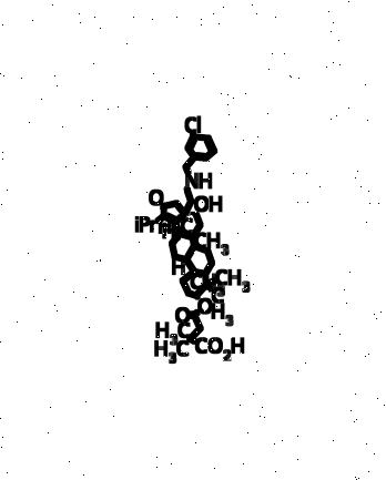 CC(C)C1=C2[C@H]3CC[C@@H]4[C@@]5(C)CC[C@H](OC(=O)CC(C)(C)C(=O)O)C(C)(C)C5CC[C@@]4(C)[C@]3(C)CC[C@@]2([C@H](O)CNCc2cccc(Cl)c2)CC1=O